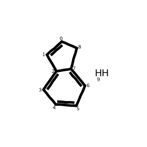 C1=Cc2ccccc2C1.[HH]